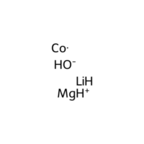 [Co].[LiH].[MgH+].[OH-]